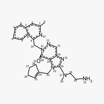 Cc1cc2ccccc2c(Cn2ncc3nc(N(C)CCN)n(CC4=CCCC4)c3c2=O)n1